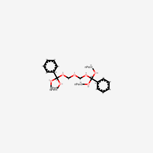 CCCCCOC(OCCCCC)(OCOCOC(OCCCCC)(OCCCCC)c1ccccc1)c1ccccc1